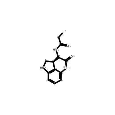 O=C(CF)NCC12CNc3cccc(c31)NC(=O)C2